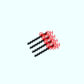 CCCCCCCCCCCCCC(=O)OCC(O)CO.CCCCCCCCCCCCCC(=O)OCC(O)CO.CCCCCCCCCCCCCC(=O)OCC(O)CO.CCCCCCCCCCCCCC(=O)OCC(O)CO